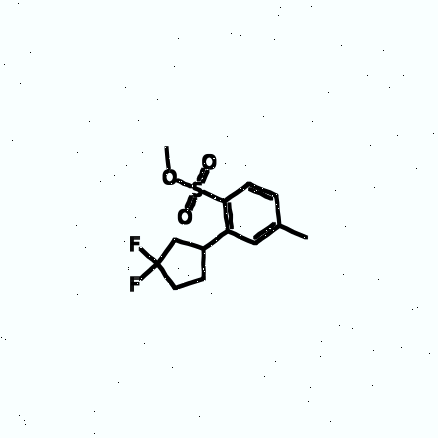 COS(=O)(=O)c1ccc(C)cc1C1CCC(F)(F)C1